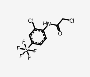 O=C(CCl)Nc1ccc(S(F)(F)(F)(F)F)cc1Cl